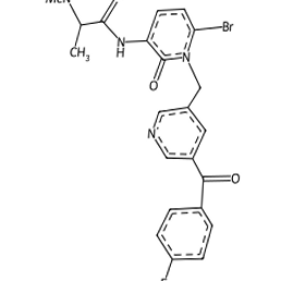 CNC(C)C(=O)Nc1ccc(Br)n(Cc2cncc(C(=O)c3ccc(F)cc3)c2)c1=O